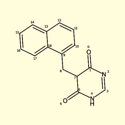 O=C1N=CNC(=O)C1Cc1cccc2ccccc12